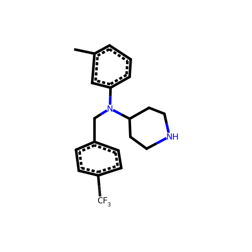 Cc1cccc(N(Cc2ccc(C(F)(F)F)cc2)C2CCNCC2)c1